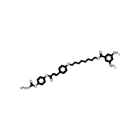 CCCCCC(=O)Oc1ccc(OC(=O)/C=C/c2ccc(OCCCCCCCCOC(=O)c3cc(N)cc(N)c3)cc2)cc1